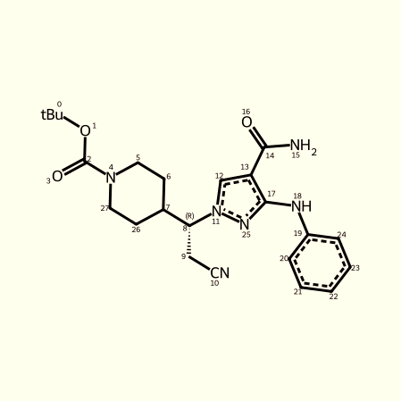 CC(C)(C)OC(=O)N1CCC([C@@H](CC#N)n2cc(C(N)=O)c(Nc3ccccc3)n2)CC1